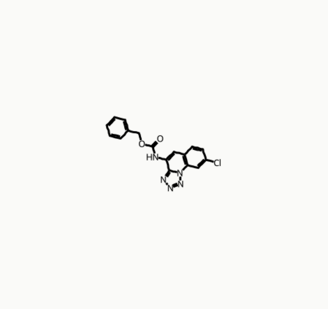 O=C(Nc1cc2ccc(Cl)cc2n2nnnc12)OCc1ccccc1